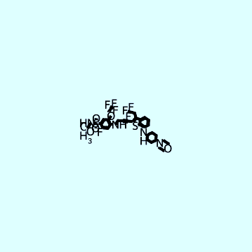 CC(=O)NS(=O)(=O)c1cc(OCC(F)(F)F)c(NCC#Cc2sc3c(NC4CCC(N5CCOCC5)CC4)cccc3c2CC(F)(F)F)cc1F